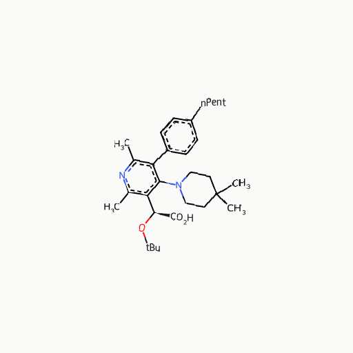 CCCCCc1ccc(-c2c(C)nc(C)c([C@H](OC(C)(C)C)C(=O)O)c2N2CCC(C)(C)CC2)cc1